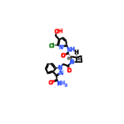 NC(=O)c1nn(CC(=O)N2C3CC[C@@H]3[C@H]2C(=O)Nc2ccc(CO)c(Cl)n2)c2ccccc12